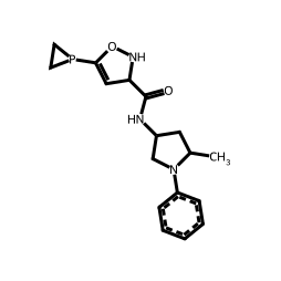 CC1CC(NC(=O)C2C=C(P3CC3)ON2)CN1c1ccccc1